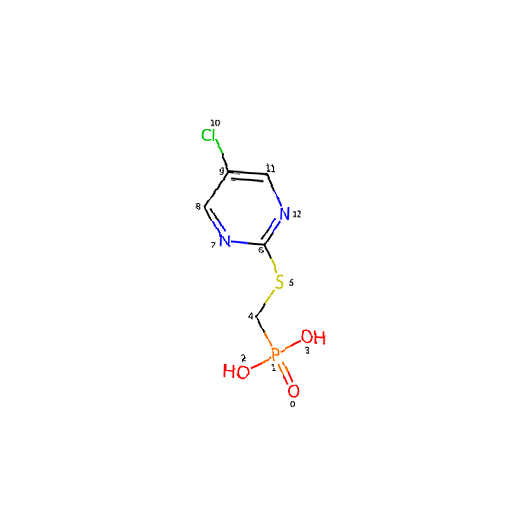 O=P(O)(O)CSc1ncc(Cl)cn1